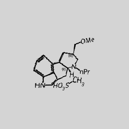 CCCN1C[C@H](COC)CC2c3cccc4[nH]cc(c34)C[C@H]21.CS(=O)(=O)O